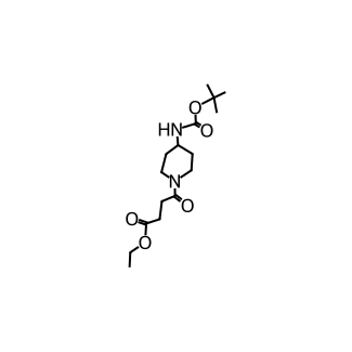 CCOC(=O)CCC(=O)N1CCC(NC(=O)OC(C)(C)C)CC1